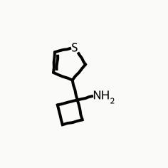 NC1(C2C=CSC2)CCC1